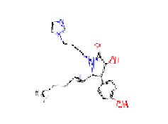 CCC/C=C/C1C(c2ccc(O)cc2)=C(O)C(=O)N1CCCn1ccnc1